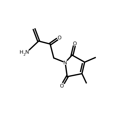 C=C(N)C(=O)CN1C(=O)C(C)=C(C)C1=O